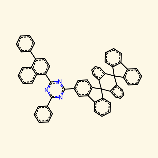 c1ccc(-c2nc(-c3ccc4c(c3)-c3ccccc3C43c4ccccc4C4(c5ccccc5-c5ccccc54)c4ccccc43)nc(-c3ccc(-c4ccccc4)c4ccccc34)n2)cc1